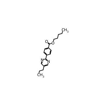 CCCCCOC(=O)c1ccc(-c2ncc(CCC)cn2)cc1